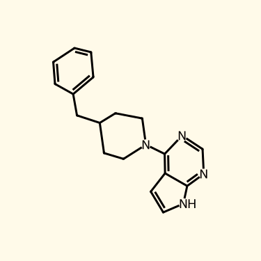 c1ccc(CC2CCN(c3ncnc4[nH]ccc34)CC2)cc1